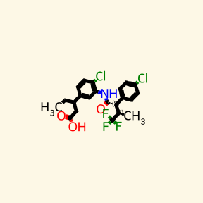 CCC(CC(=O)O)c1ccc(Cl)c(NC(=O)[C@H](c2ccc(Cl)cc2)[C@@H](C)C(F)(F)F)c1